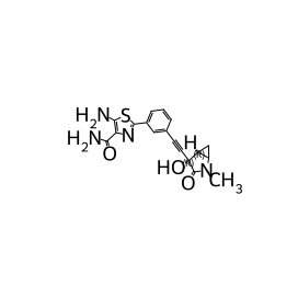 CN1C(=O)[C@](O)(C#Cc2cccc(-c3nc(C(N)=O)c(N)s3)c2)[C@@H]2CC21